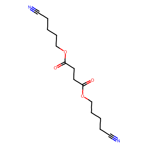 N#CCCCCOC(=O)CCC(=O)OCCCCC#N